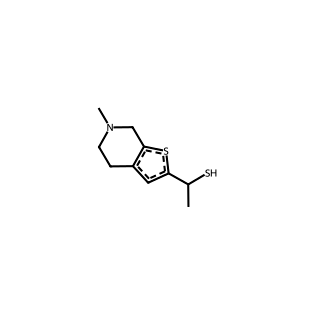 CC(S)c1cc2c(s1)CN(C)CC2